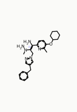 Cc1nc(/C(N)=C(\Cn2cc(Cc3ccccc3)cn2)N(C)N)ccc1OC1CCCCC1